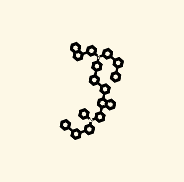 c1ccc(-c2cccc(-c3cccc(N(c4ccc(-c5cccc(-c6cccc(-c7ccc(-c8cccc(N(c9ccccc9)c9cccc(-c%10cccc(-c%11ccccc%11)c%10)c9)c8)c8ccccc78)c6)c5)cc4)c4cccc(-c5cccc6ccccc56)c4)c3)c2)cc1